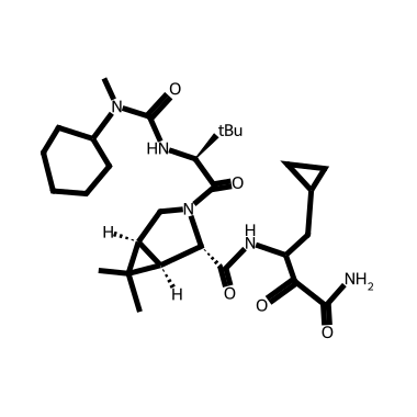 CN(C(=O)N[C@H](C(=O)N1C[C@H]2[C@@H]([C@H]1C(=O)NC(CC1CC1)C(=O)C(N)=O)C2(C)C)C(C)(C)C)C1CCCCC1